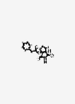 O=C(Cc1ccccc1)S[C@]12CCC[C@H]1C(=O)NC2=O